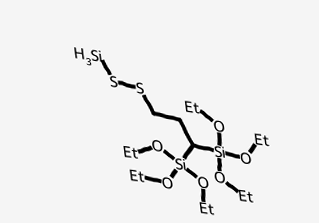 CCO[Si](OCC)(OCC)C(CCSS[SiH3])[Si](OCC)(OCC)OCC